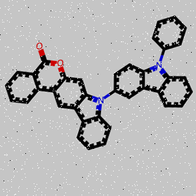 O=c1oc2cc3c(cc2c2ccccc12)c1ccccc1n3-c1ccc2c(c1)c1ccccc1n2-c1ccccc1